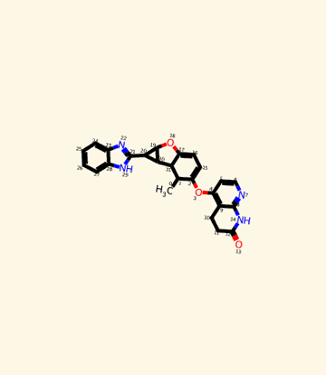 CC1C(Oc2ccnc3c2CCC(=O)N3)=CC=C2OC3C(c4nc5ccccc5[nH]4)C3C21